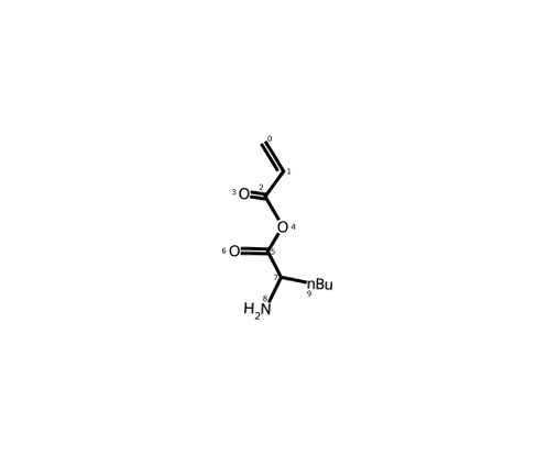 C=CC(=O)OC(=O)C(N)CCCC